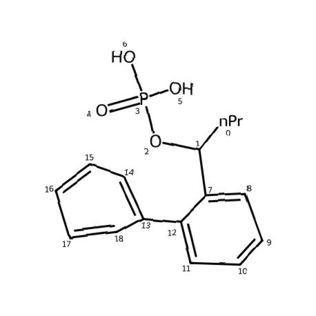 CCCC(OP(=O)(O)O)c1ccccc1-c1ccccc1